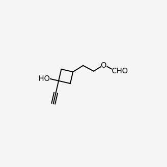 C#CC1(O)CC(CCOC=O)C1